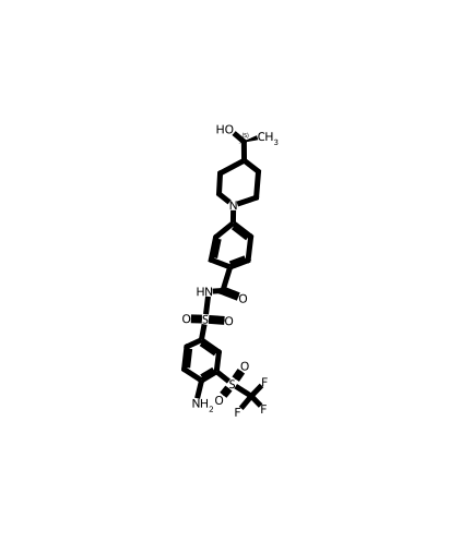 C[C@H](O)C1CCN(c2ccc(C(=O)NS(=O)(=O)c3ccc(N)c(S(=O)(=O)C(F)(F)F)c3)cc2)CC1